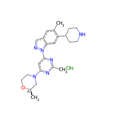 Cc1nc(N2CCO[C@H](C)C2)cc(-n2ncc3cc(C)c(C4CCNCC4)cc32)n1.Cl